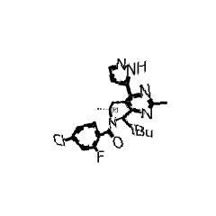 CCC(C)C1c2nc(C)nc(-c3ccn[nH]3)c2C[C@@H](C)N1C(=O)c1ccc(Cl)cc1F